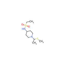 CCS(=O)(=O)NC1CCN(C(C)SC)CC1